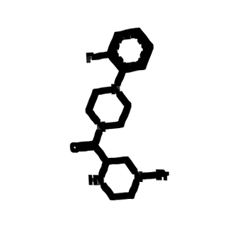 CC(C)N1CCNC(C(=O)N2CCN(c3ccccc3F)CC2)C1